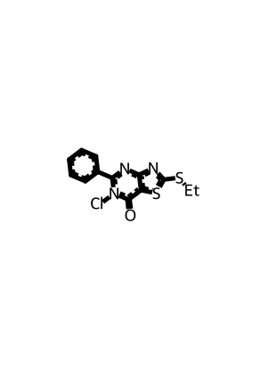 CCSc1nc2nc(-c3ccccc3)n(Cl)c(=O)c2s1